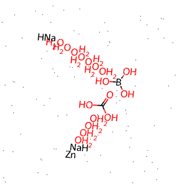 O.O.O.O.O.O.O.O.O.O.O.O=C(O)O.OB(O)O.[NaH].[NaH].[Zn]